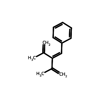 C=C(C)C(=Cc1ccccc1)C(=C)C